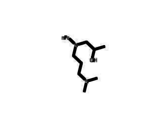 CCCN(CCCN(C)C)CC(C)O